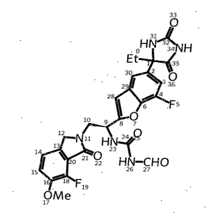 CCC1(c2cc(F)c3oc([C@H](CN4Cc5ccc(OC)c(F)c5C4=O)NC(=O)NC=O)cc3c2)NC(=O)NC1=O